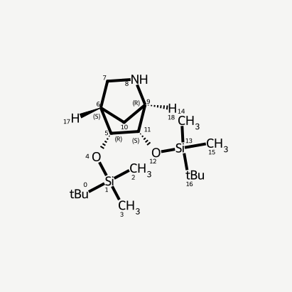 CC(C)(C)[Si](C)(C)O[C@@H]1[C@@H]2CN[C@H](C2)[C@@H]1O[Si](C)(C)C(C)(C)C